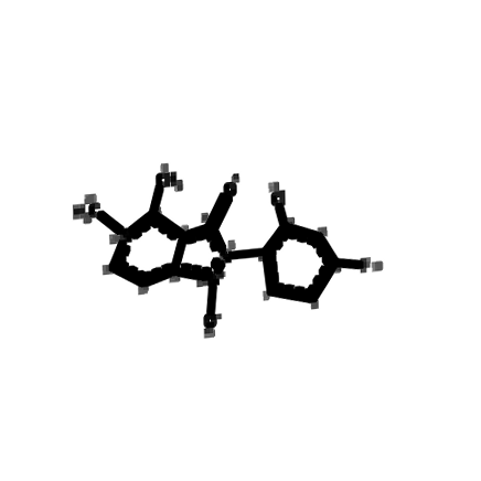 Cc1c2c(=O)n(-c3ccc(F)cc3Cl)[n+]([O-])c-2ccn1C